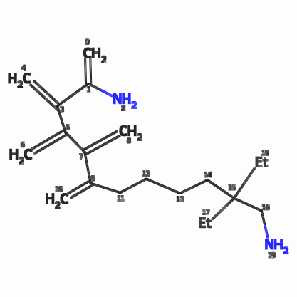 C=C(N)C(=C)C(=C)C(=C)C(=C)CCCCC(CC)(CC)CN